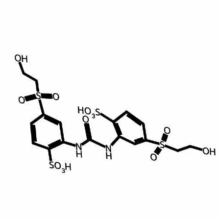 O=C(Nc1cc(S(=O)(=O)CCO)ccc1S(=O)(=O)O)Nc1cc(S(=O)(=O)CCO)ccc1S(=O)(=O)O